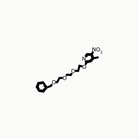 Cc1cc(OCCOCCOCCOCc2ccccc2)ncc1[N+](=O)[O-]